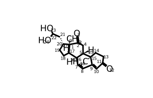 C[C@]12C(=O)C[C@H]3[C@@H](C=CC4=CC(=O)CC[C@@]43C)[C@@H]1CC[C@@H]2CC(O)O